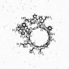 CCCC[C@@H]1NC(=O)[C@H](CCCCN)NC(=O)[C@H](CCCNC(=N)N)NC(=O)[C@H](CC(C)C)NC(=O)C(NC(=O)[C@H](Cc2cccc(Br)c2)NC(=O)[C@@H]2CCCN2C(=O)[C@@H](NC(C)=O)C(C)C)CCSSC[C@@H](C(=O)NC(CCCCN)C(=O)N2CCC[C@H]2C(=O)N2CCC[C@H]2C(=O)N[C@@H](CCC(=O)O)C(N)=O)NC(=O)[C@H](Cc2ccccc2)NC(=O)[C@H](CO)NC(=O)C(C)NC(=O)[C@@H]2CCCN2C1=O